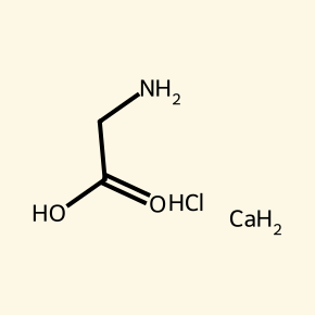 Cl.NCC(=O)O.[CaH2]